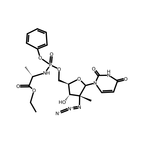 CCOC(=O)[C@H](C)NP(=O)(OC[C@H]1OC(n2ccc(=O)[nH]c2=O)[C@](C)(N=[N+]=[N-])[C@@H]1O)Oc1ccccc1